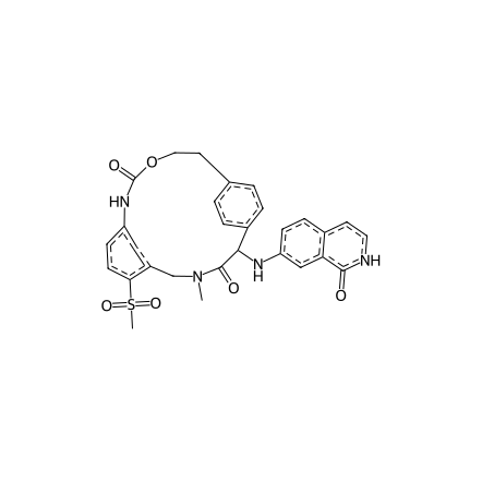 CN1Cc2cc(ccc2S(C)(=O)=O)NC(=O)OCCc2ccc(cc2)C(Nc2ccc3cc[nH]c(=O)c3c2)C1=O